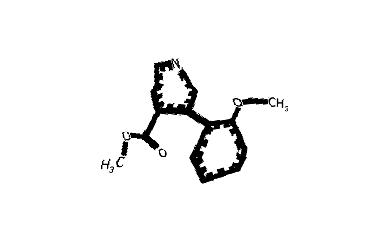 COC(=O)c1ccncc1-c1ccccc1OC